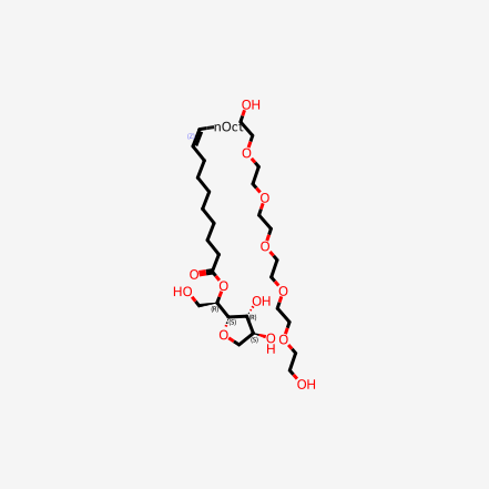 CCCCCCCC/C=C\CCCCCCCC(=O)O[C@H](CO)[C@H]1OC[C@H](O)[C@H]1O.OCCOCCOCCOCCOCCOCCO